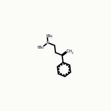 C=C(CCN(C(C)(C)C)C(C)(C)C)c1ccccc1